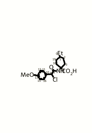 CCC1CCC(NC(=O)C(Cl)c2ccc(OC)cc2)(C(=O)O)CC1